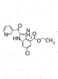 CCOC(=O)c1cc(Cl)cc2[nH]c(C(=O)c3cccnc3)c(N)c12